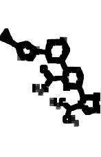 CC(C)n1cnnc1-c1ccc(-c2cncc(-n3cnc(C4CC4)c3)c2)c(C(N)=O)n1